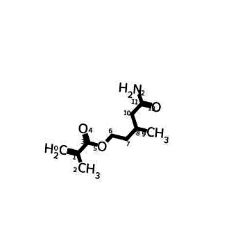 C=C(C)C(=O)OCCC(C)CC(N)=O